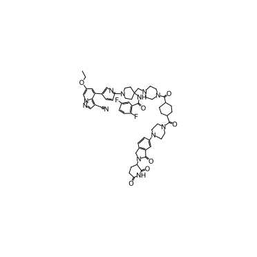 CCOc1cc(-c2ccc(N3CCC(CN4CCN(C(=O)C5CCC(C(=O)N6CCN(c7ccc8c(c7)C(=O)N(C7CCC(=O)NC7=O)C8)CC6)CC5)CC4)(NC(=O)c4cc(F)ccc4F)CC3)nc2)c2c(C#N)cnn2c1